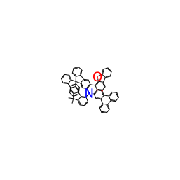 CC1(C)c2ccccc2-c2c(N(c3ccc4c5ccccc5c5ccccc5c4c3)c3cc4c(cc3-c3cccc5c3oc3ccccc35)-c3ccccc3C43c4ccccc4-c4ccccc43)cccc21